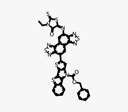 CCN1C(=O)/C(=N\c2cc3c(cc(-c4cc5c(s4)c4sc6ccccc6c4n5C(=O)OCc4ccccc4)c4nsnc43)c3nsnc23)SC1=S